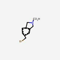 O=C(O)N1Cc2ccc(CBr)cc2C1